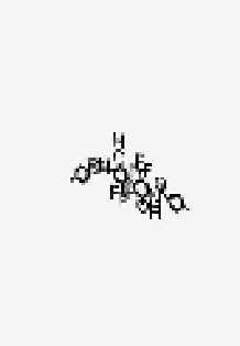 Cc1ccc(OCNc2cc(C(F)(F)F)c(-c3cc(O)c(NC(=O)c4ccc(C)cc4)cc3C(F)(F)F)cc2O)cc1